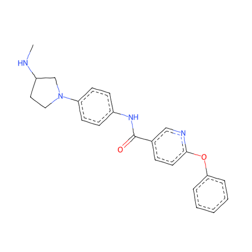 CNC1CCN(c2ccc(NC(=O)c3ccc(Oc4ccccc4)nc3)cc2)C1